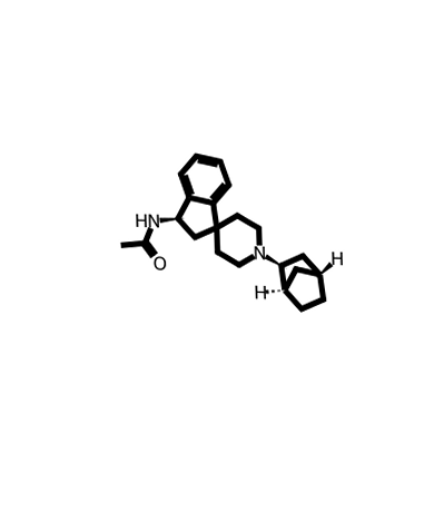 CC(=O)N[C@@H]1CC2(CCN([C@H]3C[C@@H]4CC[C@@H]3C4)CC2)c2ccccc21